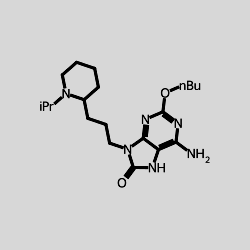 CCCCOc1nc(N)c2[nH]c(=O)n(CCCC3CCCCN3C(C)C)c2n1